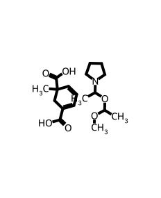 CC1(C(=O)O)C=CC=C(C(=O)O)C1.COC(C)OC(C)N1CCCC1